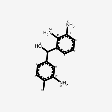 Cc1ccc(C(O)c2cccc(N)c2N)cc1N